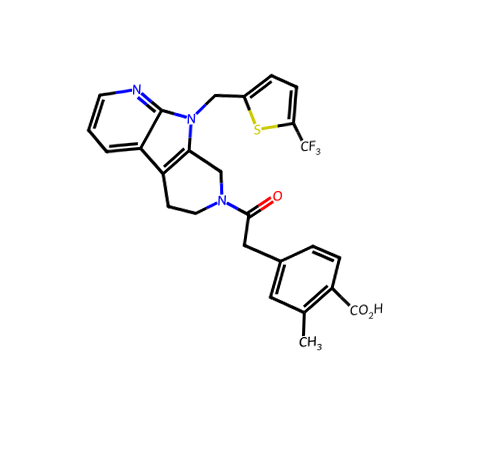 Cc1cc(CC(=O)N2CCc3c(n(Cc4ccc(C(F)(F)F)s4)c4ncccc34)C2)ccc1C(=O)O